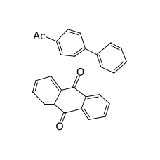 CC(=O)c1ccc(-c2ccccc2)cc1.O=C1c2ccccc2C(=O)c2ccccc21